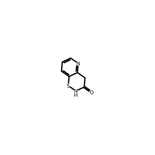 O=C1Cc2ncccc2SN1